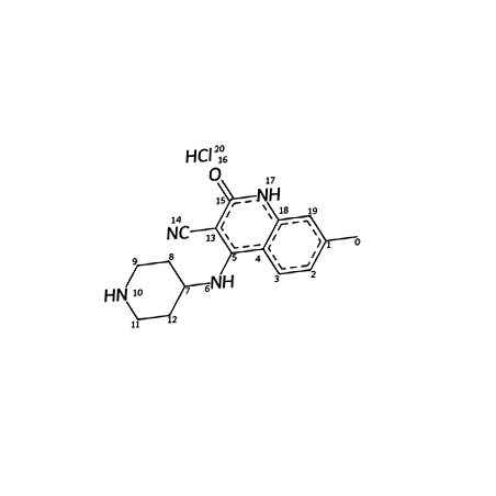 Cc1ccc2c(NC3CCNCC3)c(C#N)c(=O)[nH]c2c1.Cl